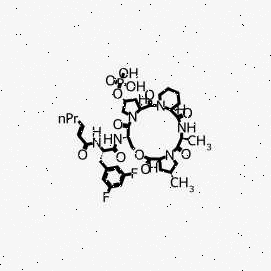 CCC/C=C/C(=O)N[C@@H](Cc1cc(F)cc(F)c1)C(=O)N[C@H]1COC(=O)[C@@H]2C[C@@H](C)CN2C(=O)[C@H](C)NC(=O)[C@@H]2CCCCN2C(=O)[C@@H]2C[C@@H](OP(=O)(O)O)CN2C1=O